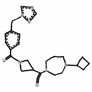 O=C(c1ccc(Cn2cncn2)cc1)N1CC(C(=O)N2CCCN(C3CCC3)CC2)C1